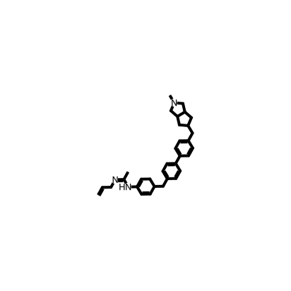 C=CC/N=C(/C)NC1=CCC(Cc2ccc(-c3ccc(CC4CC5CN(C)CC5C4)cc3)cc2)C=C1